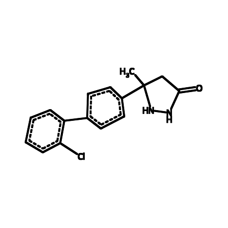 CC1(c2ccc(-c3ccccc3Cl)cc2)CC(=O)NN1